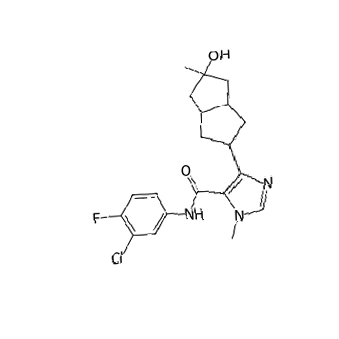 Cn1cnc(C2CC3CC(C)(O)CC3C2)c1C(=O)Nc1ccc(F)c(Cl)c1